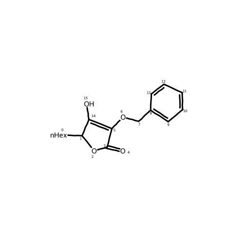 CCCCCCC1OC(=O)C(OCc2ccccc2)=C1O